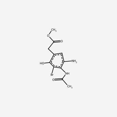 COC(=O)Cc1cc(N)c(NC(C)=O)c(Br)c1O